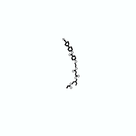 C=CC(=O)OCCC(CC)COC(=O)CCC(=O)OCCCOc1ccc(C(=O)Oc2ccc(-c3ccc(C#N)cc3)cc2)cc1